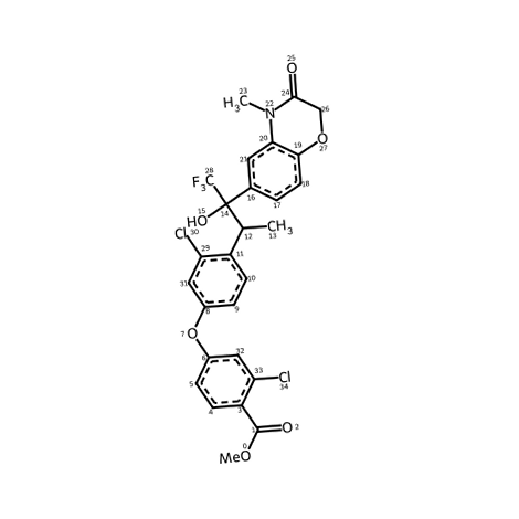 COC(=O)c1ccc(Oc2ccc(C(C)C(O)(c3ccc4c(c3)N(C)C(=O)CO4)C(F)(F)F)c(Cl)c2)cc1Cl